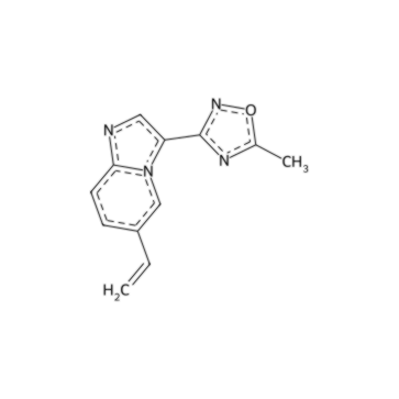 C=Cc1ccc2ncc(-c3noc(C)n3)n2c1